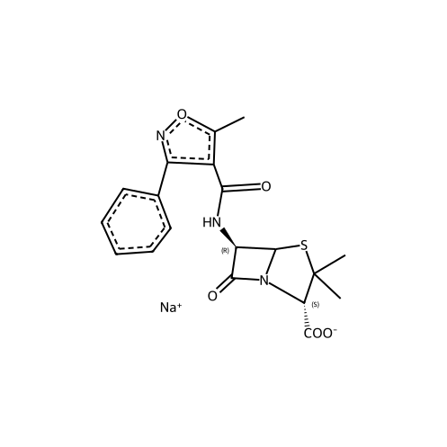 Cc1onc(-c2ccccc2)c1C(=O)N[C@@H]1C(=O)N2C1SC(C)(C)[C@@H]2C(=O)[O-].[Na+]